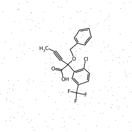 CC#CC(OCc1ccccc1)(C(=O)O)c1cc(C(F)(F)F)ccc1Cl